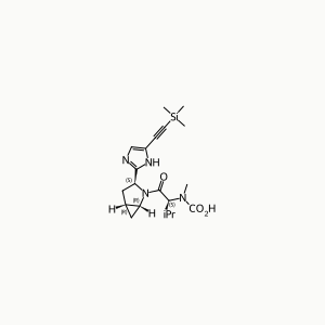 CC(C)[C@@H](C(=O)N1[C@@H]2C[C@@H]2C[C@H]1c1ncc(C#C[Si](C)(C)C)[nH]1)N(C)C(=O)O